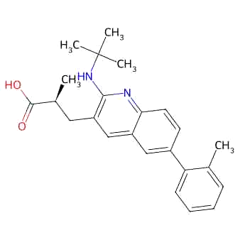 Cc1ccccc1-c1ccc2nc(NC(C)(C)C)c(C[C@H](C)C(=O)O)cc2c1